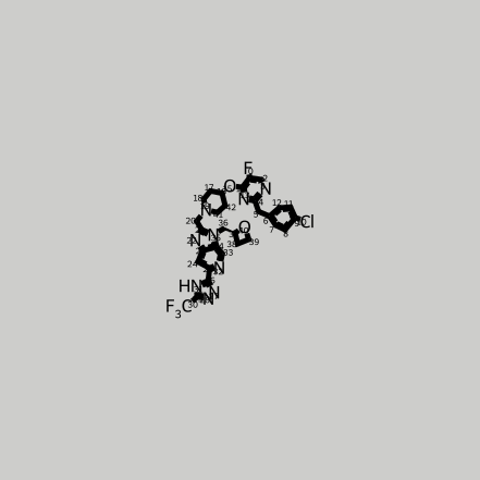 Fc1cnc(Cc2ccc(Cl)cc2)nc1OC1CCN(Cc2nc3cc(-c4nnc(C(F)(F)F)[nH]4)ncc3n2C[C@@H]2CCO2)CC1